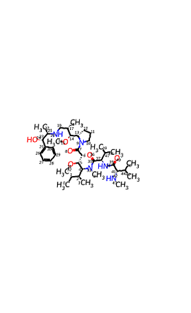 CC[C@H](C)[C@@H]([C@@H](CC(=O)N1CCC[C@H]1[C@H](OC)[C@@H](C)CN[C@H](C)[C@@H](O)c1ccccc1)OC)N(C)C(=O)[C@@H](NC(=O)[C@@H](NC)C(C)C)C(C)C